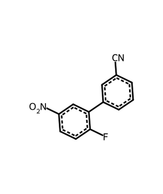 N#Cc1cccc(-c2cc([N+](=O)[O-])ccc2F)c1